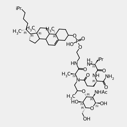 CC(=O)N[C@@H]1[C@@H](OC(C)CN(C(=O)CC[C@@H](NC(=O)[C@@H](N)C(C)C)C(N)=O)[C@@H](C)C(=O)NCCOP(=O)(O)OC2CC[C@@]3(C)C(=CCC4C3CC[C@@]3(C)C4CC[C@@H]3[C@H](C)CCCC(C)C)C2)[C@H](O)[C@@H](CO)O[C@@H]1O